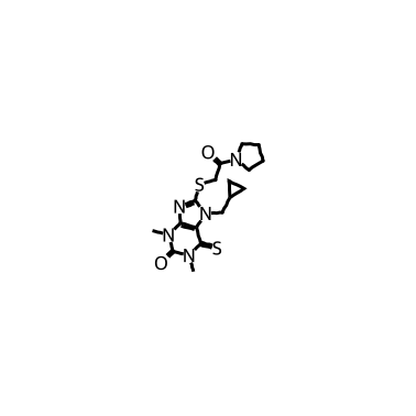 Cn1c(=S)c2c(nc(SCC(=O)N3CCCC3)n2CC2CC2)n(C)c1=O